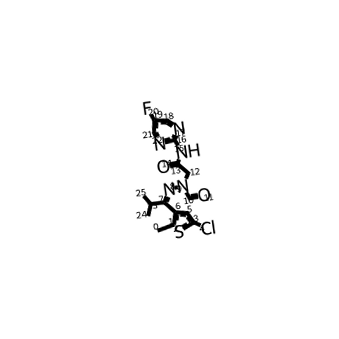 Cc1sc(Cl)cc1/C(=N\N(C=O)CC(=O)Nc1ncc(F)cn1)C(C)C